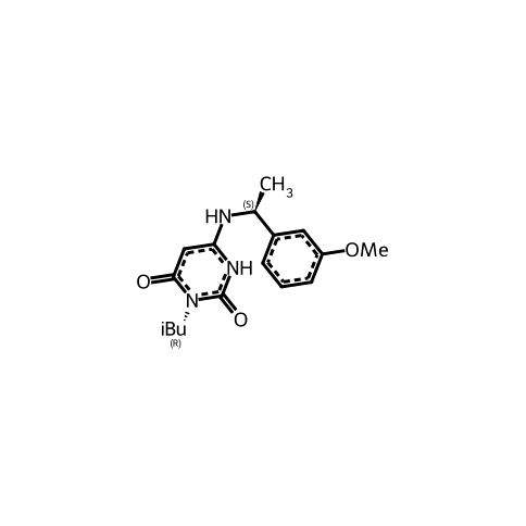 CC[C@@H](C)n1c(=O)cc(N[C@@H](C)c2cccc(OC)c2)[nH]c1=O